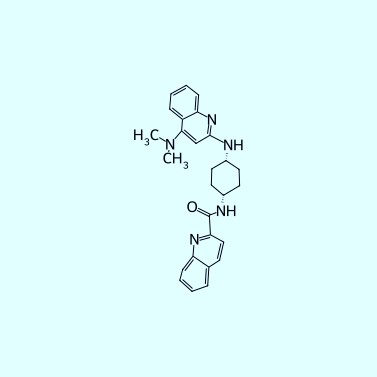 CN(C)c1cc(N[C@H]2CC[C@@H](NC(=O)c3ccc4ccccc4n3)CC2)nc2ccccc12